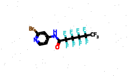 O=C(Nc1ccnc(Br)c1)C(F)(F)C(F)(F)C(F)(F)C(F)(F)C(F)(F)F